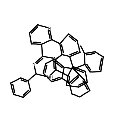 Cc1ccccc1C1(c2cccc(-c3ncccc3C3=NC(c4ccccc4)NC(c4ccccc4)=N3)c2C)C2=C(CCC=C2)c2ccccc21